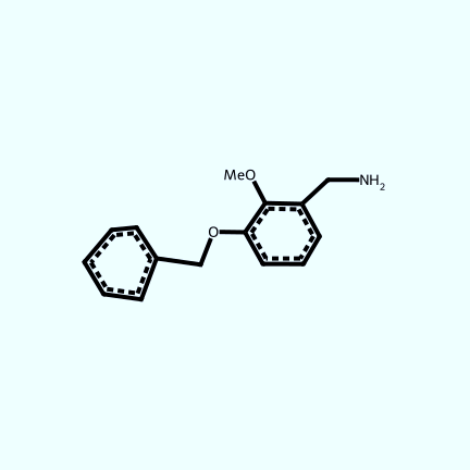 COc1c(CN)cccc1OCc1ccccc1